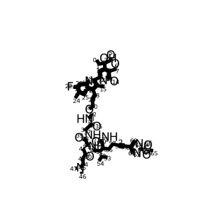 CC[C@@]1(O)C(=O)OCc2c1cc1n(c2=O)Cc2c-1nc1cc(F)c(C)cc1c2/C=C/COCNC(=O)CNC(=O)[C@H](CCCCN(C)C)NC(=O)[C@@H](C(C)C)C(CCC#Cc1cnc(S(C)(=O)=O)nc1)C(N)=O